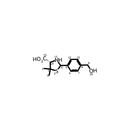 CC1(C)SC(c2ccc(CO)cc2)N[C@H]1C(=O)O